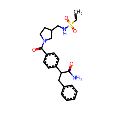 C=CS(=O)(=O)NCC1CCN(C(=O)c2ccc(C(Cc3ccccc3)C(N)=O)cc2)C1